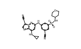 N#Cc1cc(Nc2cc(NC3CC3)c3ncc(C#N)n3n2)cc(S(=O)(=O)NC2CCOCC2)c1